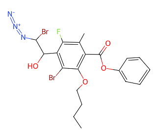 CCCCOc1c(Br)c(C(O)C(Br)N=[N+]=[N-])c(F)c(C)c1C(=O)Oc1ccccc1